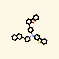 c1cc(-c2ccc3ccccc3c2)cc(N(c2ccc(-c3cccc4c3oc3ccccc34)cc2)c2ccc3c(c2)sc2ccccc23)c1